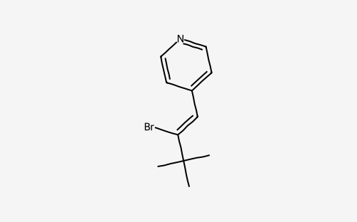 CC(C)(C)C(Br)=Cc1ccncc1